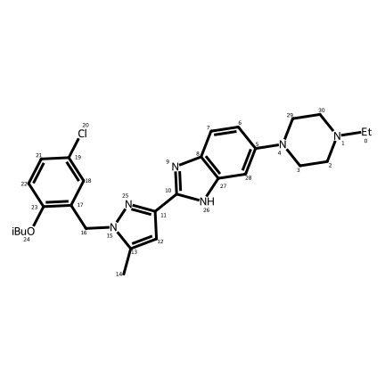 CCN1CCN(c2ccc3nc(-c4cc(C)n(Cc5cc(Cl)ccc5OCC(C)C)n4)[nH]c3c2)CC1